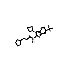 O=C(CCC1CCCC1)Nc1nc2cc(C(F)(F)F)cnc2n1C1CCC1